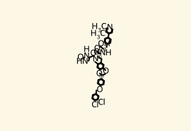 Cc1nccc(-c2ccc(C[C@H](NC(=O)[C@@H]3Cc4cc5c(cc4CN3C(=O)C3CNC(=O)N3)O[C@@H](c3ccc(OCc4ccc(Cl)c(Cl)c4)cc3)CO5)C(=O)O)cc2)c1C